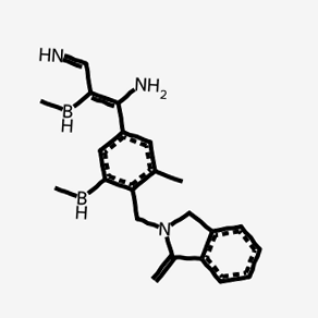 C=C1c2ccccc2CN1Cc1c(C)cc(/C(N)=C(\BC)C=N)cc1BC